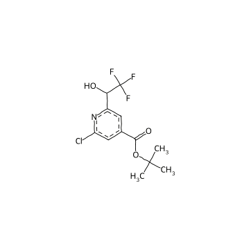 CC(C)(C)OC(=O)c1cc(Cl)nc(C(O)C(F)(F)F)c1